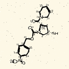 O=C([C@@H]1C[C@H](S)CN1C(=O)OCc1ccc([N+](=O)[O-])cc1)N1CC=CCC1